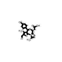 Cc1c(C=O)sc2c1C(c1ccc(Cl)cc1)=N[C@@H](CC(=O)O)c1nnc(C)n1-2